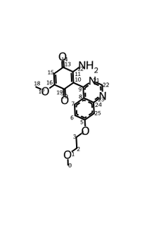 COCCOc1ccc2c(C3=C(N)C(=O)C=C(OC)C3=O)ncnc2c1